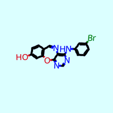 Oc1ccc2c(c1)Oc1ncnc(Nc3cccc(Br)c3)c1N=C2